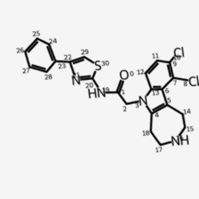 O=C(Cn1c2c(c3c(Cl)c(Cl)ccc31)CCNCC2)Nc1nc(-c2ccccc2)cs1